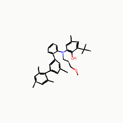 COCCCN(c1ccccc1-c1cc(C)cc(-c2c(C)cc(C)cc2C)c1)c1cc(C)cc(C(C)(C)C)c1O